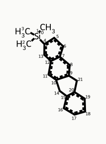 C[Si](C)(C)c1ccc2cc3c(cc2c1)Cc1ccccc1C3